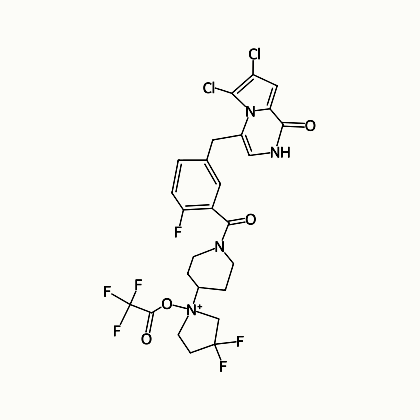 O=C(c1cc(Cc2c[nH]c(=O)c3cc(Cl)c(Cl)n23)ccc1F)N1CCC([N+]2(OC(=O)C(F)(F)F)CCC(F)(F)C2)CC1